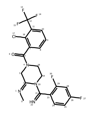 C/N=C1/CN(C(=O)c2cccc(C(F)(F)F)c2Cl)CCN1C(=N)c1ccc(F)cc1F